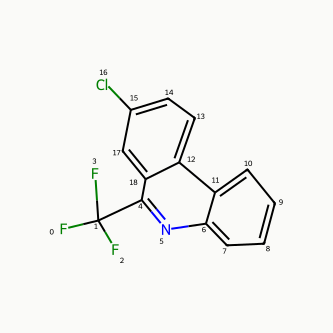 FC(F)(F)c1nc2ccccc2c2ccc(Cl)cc12